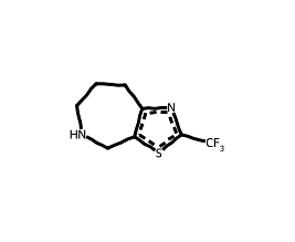 FC(F)(F)c1nc2c(s1)CNCCC2